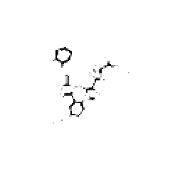 COC1C=C2C(=CC1)n1cnc(-c3noc(C(C)C)n3)c1Cn1c(COc3ccccc3F)nnc12